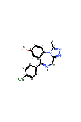 Cc1nnc2n1-c1ccc(O)cc1C(c1ccc(Cl)cc1)=NC2